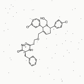 NC(=O)[C@H](Cc1ccccc1)NC(=O)CCOCC1=CCC(c2ccc(Cl)cc2)N(CO)C1c1cccc(Cl)c1